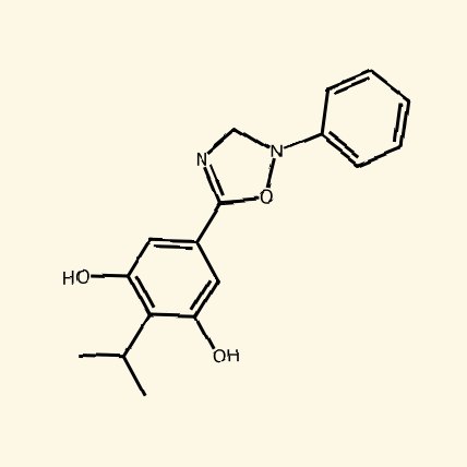 CC(C)c1c(O)cc(C2=NCN(c3ccccc3)O2)cc1O